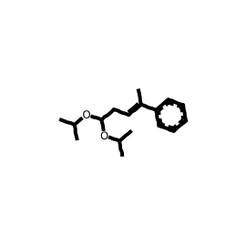 CC(=CCC(OC(C)C)OC(C)C)c1ccccc1